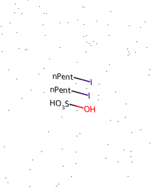 CCCCCI.CCCCCI.O=S(=O)(O)O